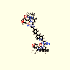 COC(=O)N[C@H](C(=O)N1[C@@H]2C[C@H]2C[C@H]1c1nc(-c2ccc(-c3ccc4nc(-c5c[nH]c([C@@H]6C[C@H]7C[C@H]7N6C(=O)[C@H](C6CCOCC6)N(C)C(=O)O)n5)ccc4c3)cc2)c[nH]1)C1CCOCC1